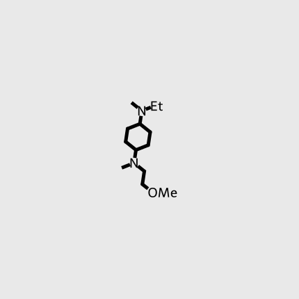 CCN(C)C1CCC(N(C)CCOC)CC1